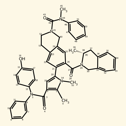 Cc1c(C(=O)N(c2ccccc2)c2ccc(O)cc2)cc(-c2cc3c(cc2C(=O)N2Cc4ccccc4C[C@H]2C)CN(C(=O)N(C)c2ccccc2)CC3)n1C